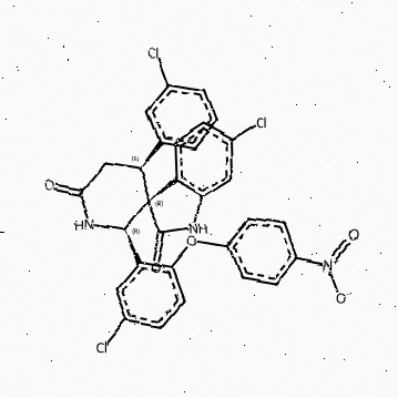 O=C1C[C@@H](c2cccc(Cl)c2)[C@]2(C(=O)Nc3cc(Cl)ccc32)[C@@H](c2cc(Cl)ccc2Oc2ccc([N+](=O)[O-])cc2)N1